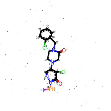 O=C1CN(c2cnn(PI)c(=O)c2Cl)CCN1Cc1ccccc1Cl